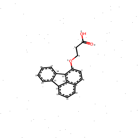 O=C(O)CCOc1ccc2cccc3c2c1-c1ccccc1-3